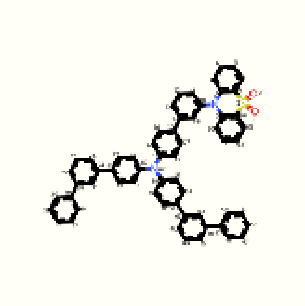 O=S1(=O)c2ccccc2N(c2cccc(-c3ccc(N(c4ccc(-c5cccc(-c6ccccc6)c5)cc4)c4ccc(-c5cccc(-c6ccccc6)c5)cc4)cc3)c2)c2ccccc21